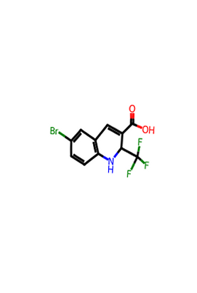 O=C(O)C1=Cc2cc(Br)ccc2NC1C(F)(F)F